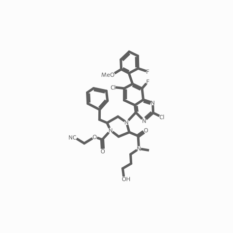 COc1cccc(F)c1-c1c(Cl)cc2c(N3CC(Cc4ccccc4)N(C(=O)OCC#N)CC3C(=O)N(C)CCCO)nc(Cl)nc2c1F